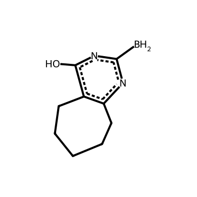 Bc1nc(O)c2c(n1)CCCCC2